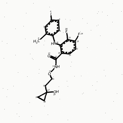 Cc1cc(I)ccc1Nc1c(C(=O)NOCCC2(O)CC2)ccc(F)c1F